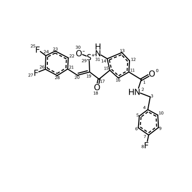 O=C(NCc1ccc(F)cc1)c1ccc2c(c1)C(=O)/C(=C/c1ccc(F)c(F)c1)[S+]([O-])N2